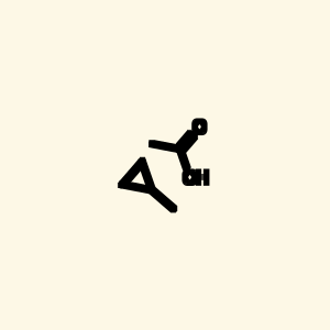 CC(=O)O.CC1CC1